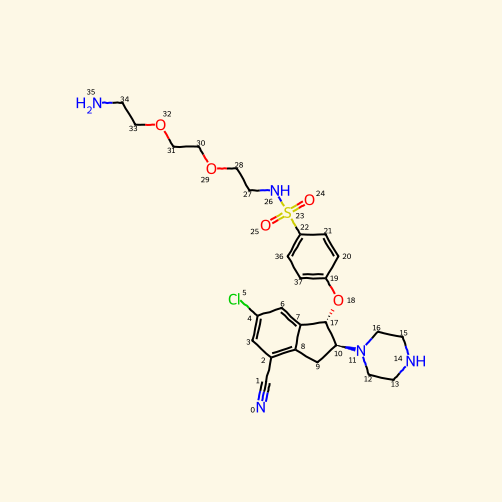 N#Cc1cc(Cl)cc2c1C[C@H](N1CCNCC1)[C@H]2Oc1ccc(S(=O)(=O)NCCOCCOCCN)cc1